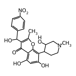 Cc1oc2c(C3CCN(C)CC3O)c(O)cc(O)c2c(=O)c1C(O)c1ccc([N+](=O)[O-])cc1